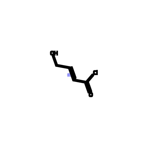 O=C(Cl)/C=C/CO